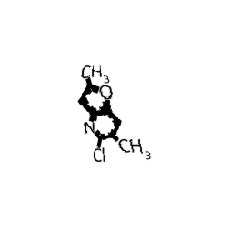 Cc1cc2nc(Cl)c(C)cc2o1